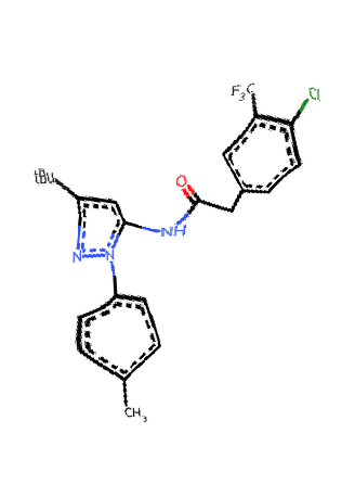 Cc1ccc(-n2nc(C(C)(C)C)cc2NC(=O)Cc2ccc(Cl)c(C(F)(F)F)c2)cc1